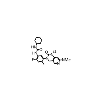 CCN1C(=O)N(c2cc(NC(=O)NC3CCCCC3)c(F)cc2C)Cc2cnc(NC)cc21